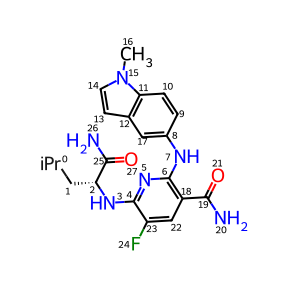 CC(C)C[C@@H](Nc1nc(Nc2ccc3c(ccn3C)c2)c(C(N)=O)cc1F)C(N)=O